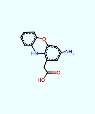 Nc1cc(CC(=O)O)c2c(c1)Oc1ccccc1N2